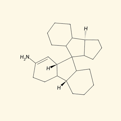 NC1=C[C@H]2C(CC1)[C@H]1CCCCC1C21C2CCCCC2[C@H]2CCCC21